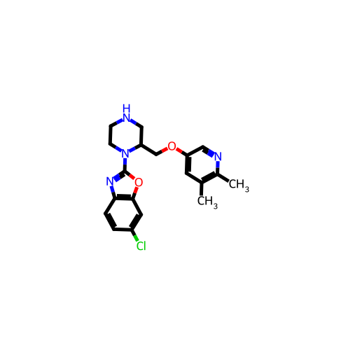 Cc1cc(OCC2CNCCN2c2nc3ccc(Cl)cc3o2)cnc1C